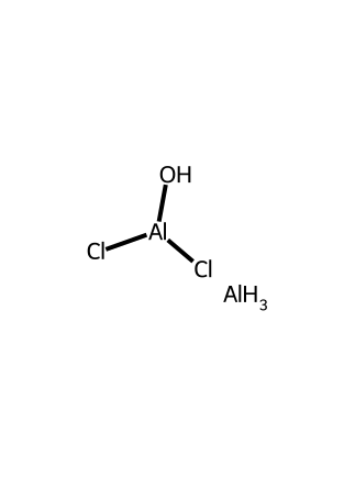 [AlH3].[OH][Al]([Cl])[Cl]